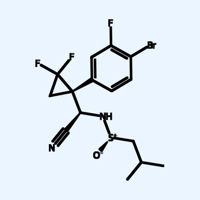 CC(C)C[S@@+]([O-])N[C@@H](C#N)[C@]1(c2ccc(Br)c(F)c2)CC1(F)F